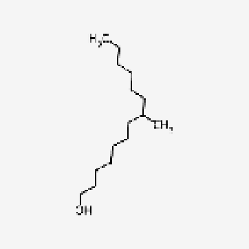 CCCCCCC(C)CCCCCCCO